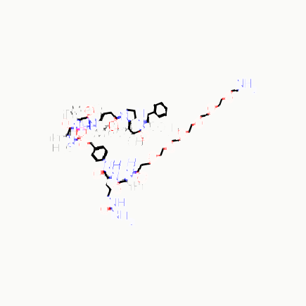 CC[C@H](C)[C@@H]([C@@H](CC(=O)N1CCC[C@H]1[C@H](OC)[C@@H](C)C(=O)N[C@@H](Cc1ccccc1)C(=O)O)OC)N(C)C(=O)[C@@H](NC(=O)[C@H](C(C)C)N(C)C(=O)OCc1ccc(NC(=O)[C@H](CCCNC(N)=O)NC(=O)[C@@H](NC(=O)CCOCCOCCOCCOCCOCCOCCN)C(C)C)cc1)C(C)C